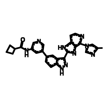 Cc1cn(-c2nccc3[nH]c(-c4n[nH]c5ccc(-c6cncc(NC(=O)C7CCC7)c6)cc45)nc23)cn1